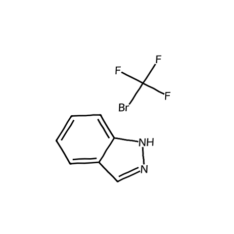 FC(F)(F)Br.c1ccc2[nH]ncc2c1